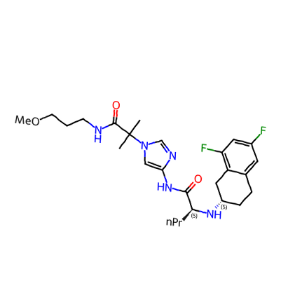 CCC[C@H](N[C@H]1CCc2cc(F)cc(F)c2C1)C(=O)Nc1cn(C(C)(C)C(=O)NCCCOC)cn1